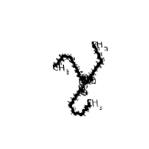 CCCCC/C=C\C/C=C\C/C=C\CCCCCCC(=O)OC[C@@H](COC(=O)CCCCCCC/C=C\CCCCCC)OC(=O)CCCCCCC/C=C\C/C=C\CCCCC